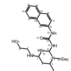 CCCCCCCCCCN1C(C)CC(NCCO)NC1NC(=O)Nc1ccc2ccccc2c1